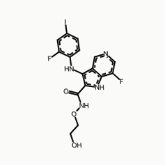 O=C(NOCCO)c1[nH]c2c(F)cncc2c1Nc1ccc(I)cc1F